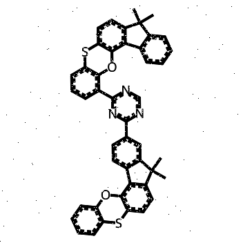 CC1(C)c2cc(-c3ncnc(-c4cccc5c4Oc4c(ccc6c4-c4ccccc4C6(C)C)S5)n3)ccc2-c2c1ccc1c2Oc2ccccc2S1